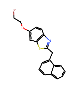 BrCCOc1ccc2nc(Cc3cccc4ccccc34)sc2c1